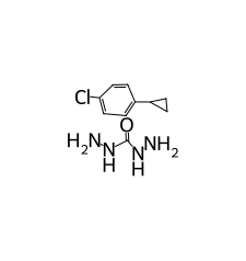 Clc1ccc(C2CC2)cc1.NNC(=O)NN